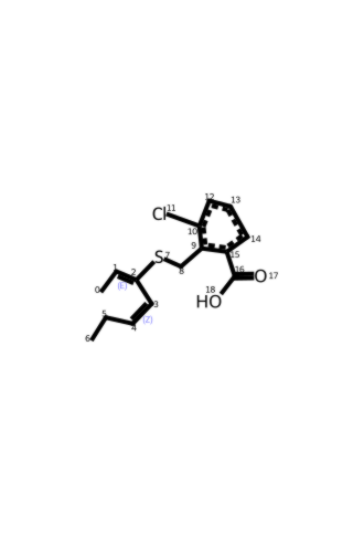 C/C=C(\C=C/CC)SCc1c(Cl)cccc1C(=O)O